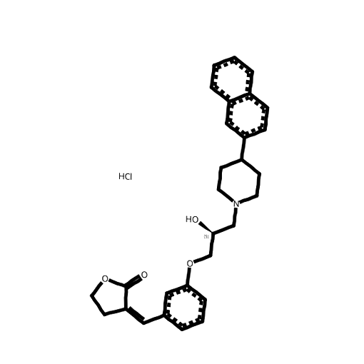 Cl.O=C1OCCC1=Cc1cccc(OC[C@@H](O)CN2CCC(c3ccc4ccccc4c3)CC2)c1